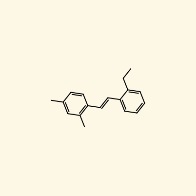 CCc1ccccc1C=Cc1ccc(C)cc1C